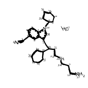 Cl.N#Cc1ccc2c(c1)c(C(CCNCCCN)C1CCCCC1)cn2C1CCCCC1